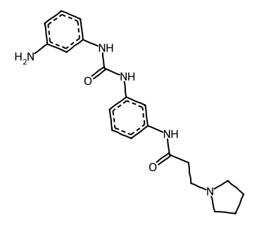 Nc1cccc(NC(=O)Nc2cccc(NC(=O)CCN3CCCC3)c2)c1